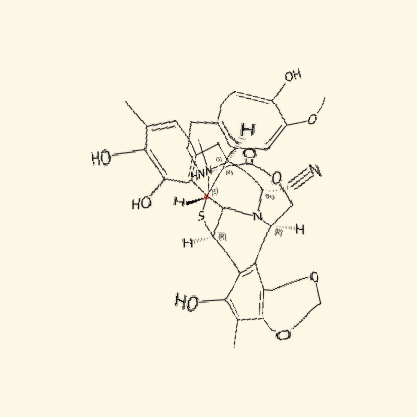 COc1cc2c(cc1O)CCN[C@]21CS[C@@H]2c3c(O)c(C)c4c(c3[C@H](COC1=O)N1C2[C@@H]2c3c(cc(C)c(O)c3O)C[C@@H]([C@@H]1C#N)N2C)OCO4